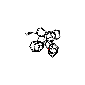 N#Cc1cccc([Si](c2ccccc2)(c2ccccc2)c2ccccc2)c1-c1ccccc1-n1c2ccccc2c2ccccc21